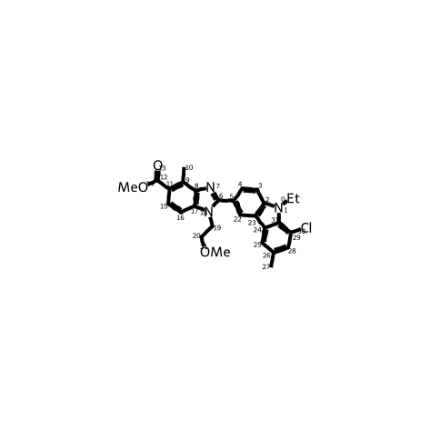 CCn1c2ccc(-c3nc4c(C)c(C(=O)OC)ccc4n3CCOC)cc2c2cc(C)cc(Cl)c21